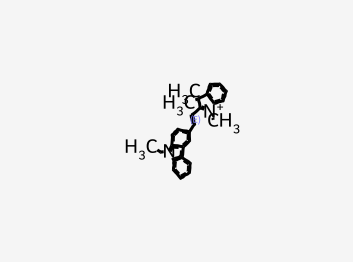 CCn1c2ccccc2c2cc(/C=C/C3=[N+](C)c4ccccc4C3(C)C)ccc21